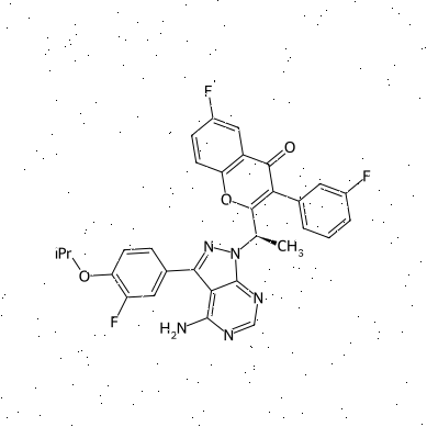 CC(C)Oc1ccc(-c2nn([C@H](C)c3oc4ccc(F)cc4c(=O)c3-c3cccc(F)c3)c3ncnc(N)c23)cc1F